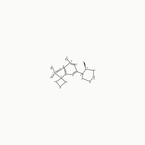 CCS(=O)(=O)C1(c2cc(N3CCOC[C@@H]3C)nc(Cl)n2)CCC1